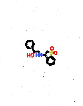 O=S1(=O)CC(NCC(O)c2ccccc2)c2ccccc21